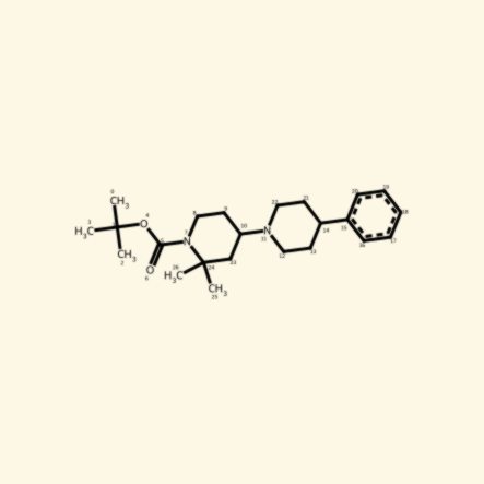 CC(C)(C)OC(=O)N1CCC(N2CCC(c3ccccc3)CC2)CC1(C)C